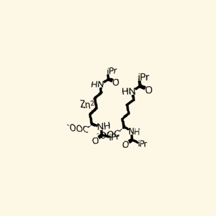 CC(C)C(=O)NCCCC[C@H](NC(=O)C(C)C)C(=O)[O-].CC(C)C(=O)NCCCC[C@H](NC(=O)C(C)C)C(=O)[O-].[Zn+2]